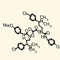 COc1ccc(NC(=O)N(CCC(c2ccc(Cl)cc2)N(C)C)OC(=O)C(=O)ON(CCC(c2ccc(Cl)cc2)N(C)C)C(=O)Nc2ccc(OC)cc2)cc1